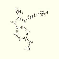 CCOc1ccc2c(c1)C(C#CC(=O)O)=C(C)C2